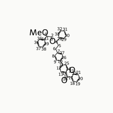 COC(COC(CCc1ccc(-c2ccc3c(=O)c4ccccc4oc3c2)cc1)c1ccccc1)c1ccccc1